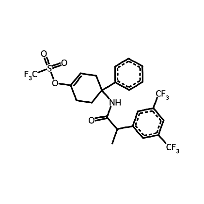 CC(C(=O)NC1(c2ccccc2)CC=C(OS(=O)(=O)C(F)(F)F)CC1)c1cc(C(F)(F)F)cc(C(F)(F)F)c1